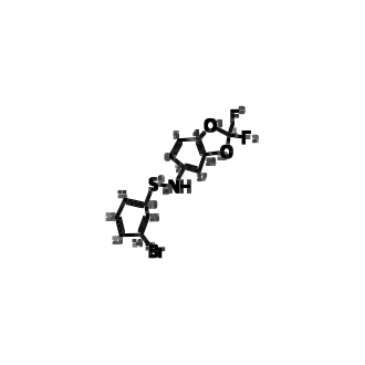 FC1(F)Oc2ccc(NSc3cccc(Br)c3)cc2O1